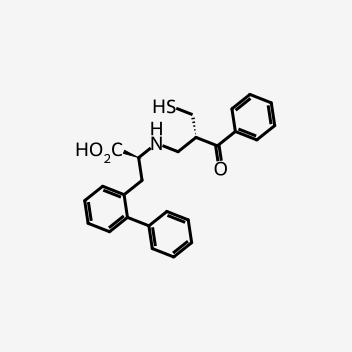 O=C(c1ccccc1)[C@@H](CS)CN[C@@H](Cc1ccccc1-c1ccccc1)C(=O)O